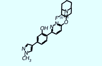 Cn1cc(-c2ccc(-c3ccc(O[C@@H]4CC5CCCC(N5)[C@@H]4F)nn3)c(O)c2)cn1